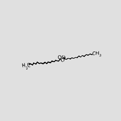 CCCCCCCCCCCCCCCCCC(=O)OC(=O)CCCCCCCCCCCCCCCC